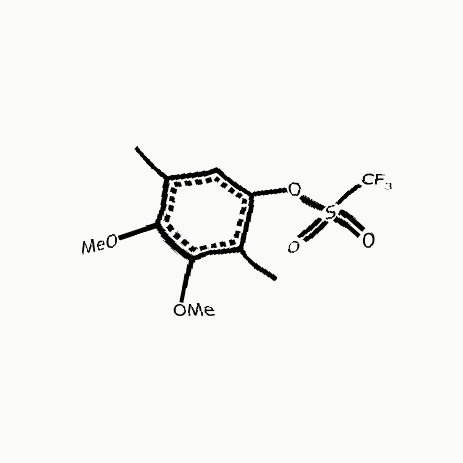 COc1c(C)cc(OS(=O)(=O)C(F)(F)F)c(C)c1OC